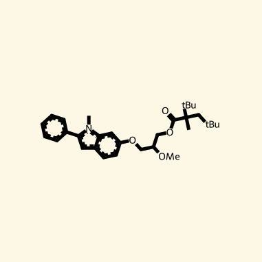 COC(COC(=O)C(C)(CC(C)(C)C)C(C)(C)C)COc1ccc2cc(-c3ccccc3)n(C)c2c1